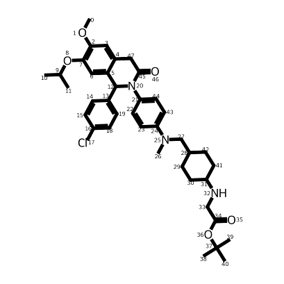 COc1cc2c(cc1OC(C)C)C(c1ccc(Cl)cc1)N(c1ccc(N(C)CC3CCC(NCC(=O)OC(C)(C)C)CC3)cc1)C(=O)C2